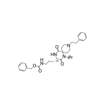 CC(C)N1C(=O)[C@H](CCCNC(=O)OCc2ccccc2)NC(=O)C12CCN(CCc1ccccc1)CC2